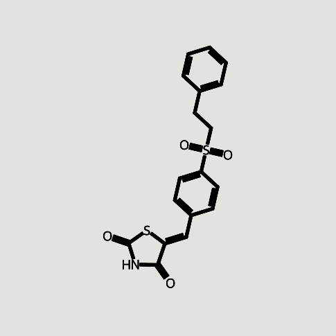 O=C1NC(=O)C(=Cc2ccc(S(=O)(=O)CCc3ccccc3)cc2)S1